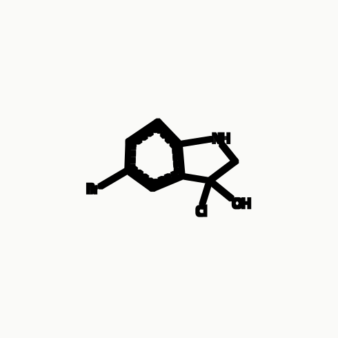 OC1(Cl)CNc2ccc(Br)cc21